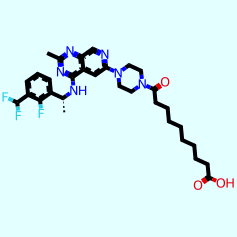 Cc1nc(N[C@H](C)c2cccc(C(F)F)c2F)c2cc(N3CCN(C(=O)CCCCCCCCC(=O)O)CC3)ncc2n1